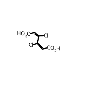 O=C(O)/C=C(Cl)\C(Cl)=C/C(=O)O